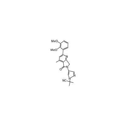 COc1cccc(-c2cc(C)c3c(n2)CN(c2cnn(C(C)(C)C#N)c2)C3=O)c1OC